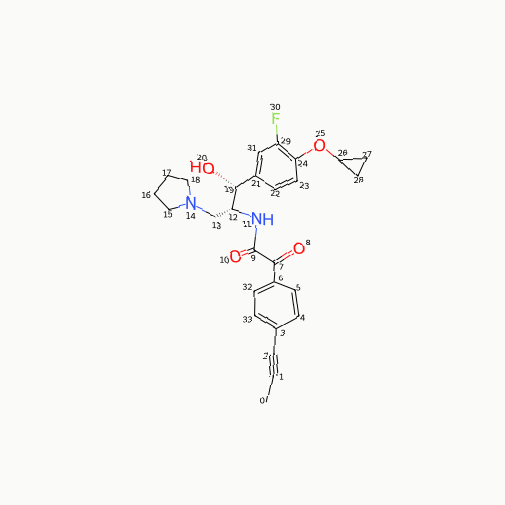 CC#Cc1ccc(C(=O)C(=O)N[C@H](CN2CCCC2)[C@H](O)c2ccc(OC3CC3)c(F)c2)cc1